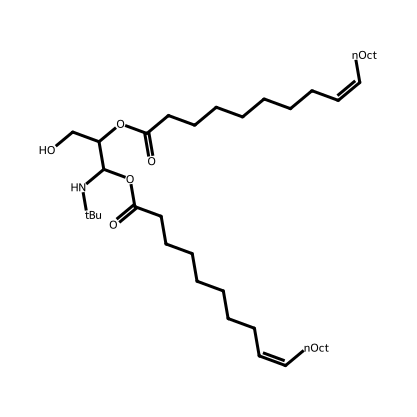 CCCCCCCC/C=C\CCCCCCCC(=O)OC(CO)C(NC(C)(C)C)OC(=O)CCCCCCC/C=C\CCCCCCCC